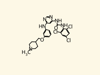 CN1CCC(COc2cccc(Nc3cc(NC(=O)Nc4c(Cl)cc(Cl)cc4Cl)ncn3)c2)CC1